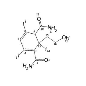 NC(=O)C1=C(I)C=C(I)C(C(N)=O)C1(I)CCO